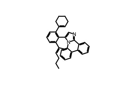 CCC/C=C(\C)c1cccc(C2=CCCCC2)c1-c1cnc2c3ccccc3c3ccccc3n12